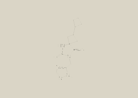 Cn1ncnc1CN1C(=O)NC2(CC(C3CCC3)C2)C1=O